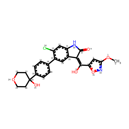 COc1cc(C(O)=C2C(=O)Nc3cc(Cl)c(-c4ccc(C5(O)CCOCC5)cc4)cc32)on1